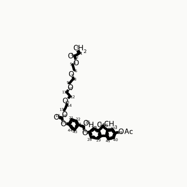 C=CC(=O)OCCOCCOCCOCCOC(=O)Oc1ccc(C(=O)Oc2ccc3c(c2)C(C)(C)c2cc(OC(C)=O)ccc2-3)cc1